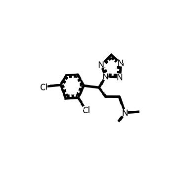 CN(C)CCC(c1ccc(Cl)cc1Cl)n1ncnn1